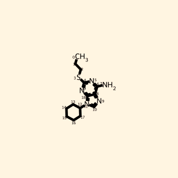 CCCSc1nc(N)c2ncn(C3CCCCC3)c2n1